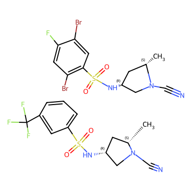 C[C@H]1C[C@@H](NS(=O)(=O)c2cc(Br)c(F)cc2Br)CN1C#N.C[C@H]1C[C@@H](NS(=O)(=O)c2cccc(C(F)(F)F)c2)CN1C#N